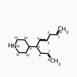 C=CCC=CC(CC=C)C1CCNCC1